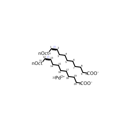 CCCCCCCC/C=C\CCCCCCCC(=O)[O-].CCCCCCCC/C=C\CCCCCCCC(=O)[O-].[Pd+2]